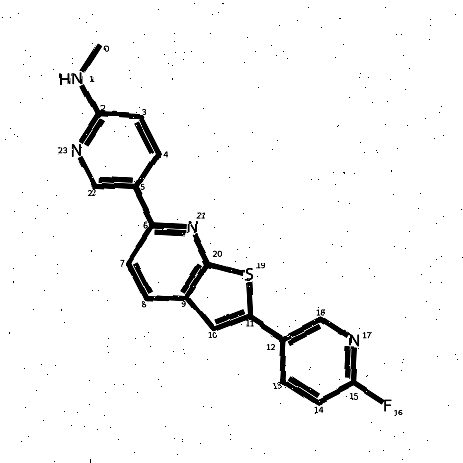 CNc1ccc(-c2ccc3cc(-c4ccc(F)nc4)sc3n2)cn1